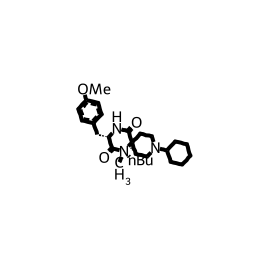 CCCC[N+]1(C)C(=O)[C@H](Cc2ccc(OC)cc2)NC(=O)C12CCN(C1CCCCC1)CC2